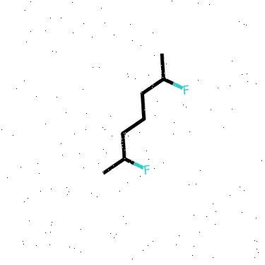 CC(F)CCCC(C)F